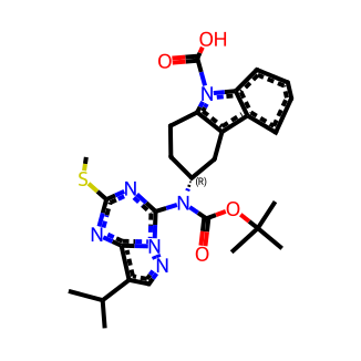 CSc1nc(N(C(=O)OC(C)(C)C)[C@@H]2CCc3c(c4ccccc4n3C(=O)O)C2)n2ncc(C(C)C)c2n1